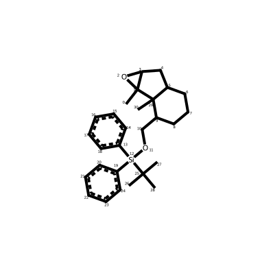 CC12OC1CC1CCCC(CO[Si](c3ccccc3)(c3ccccc3)C(C)(C)C)C12C